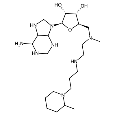 CC1CCCCN1CCCNCCN(C)C[C@H]1O[C@@H](N2CNC3C(N)NCNC32)[C@H](O)[C@@H]1O